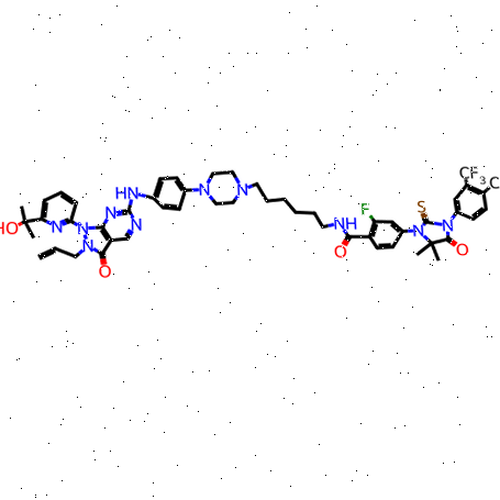 C=CCn1c(=O)c2cnc(Nc3ccc(N4CCN(CCCCCCNC(=O)c5ccc(N6C(=S)N(c7ccc(C#N)c(C(F)(F)F)c7)C(=O)C6(C)C)cc5F)CC4)cc3)nc2n1-c1cccc(C(C)(C)O)n1